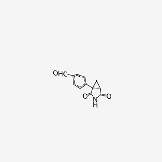 O=Cc1ccc(C23CC2C(=O)NC3=O)cc1